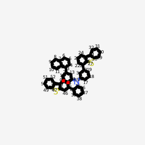 c1cc(-c2cccc3ccccc23)cc(N(c2cccc(-c3cccc4c3sc3ccccc34)c2)c2ccccc2-c2ccc3c(c2)sc2ccccc23)c1